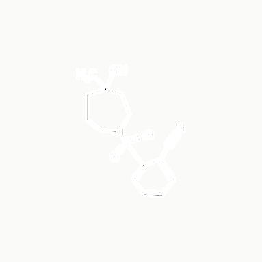 CC1(O)CCCN(S(=O)(=O)c2ccccc2C#N)CC1